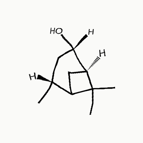 C[C@@H]1C[C@H](O)[C@@H]2CC1C2(C)C